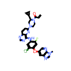 C=CC(=O)N1CCN(c2ccc3ncnc(Nc4cc(Cl)c(Oc5cnc6c(c5)ncn6C)cc4F)c3n2)CC1C1CC1